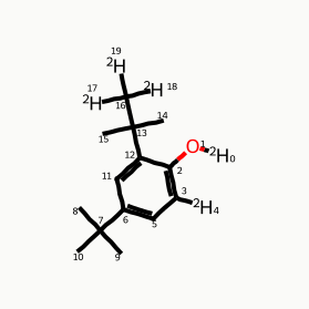 [2H]Oc1c([2H])cc(C(C)(C)C)cc1C(C)(C)C([2H])([2H])[2H]